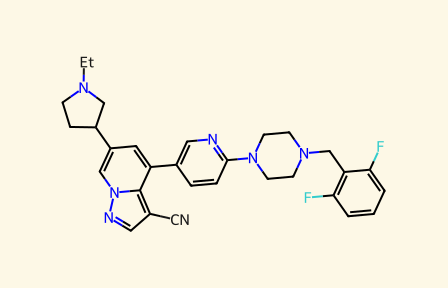 CCN1CCC(c2cc(-c3ccc(N4CCN(Cc5c(F)cccc5F)CC4)nc3)c3c(C#N)cnn3c2)C1